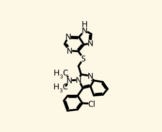 CN(C)N1C(c2ccccc2Cl)=c2ccccc2=NC1CSc1ncnc2[nH]cnc12